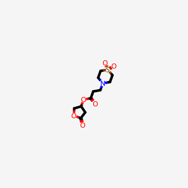 O=C1CC(OC(=O)CCN2CCS(=O)(=O)CC2)CO1